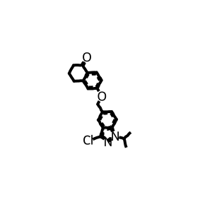 CC(C)n1nc(Cl)c2cc(COc3ccc4c(c3)CCCC4=O)ccc21